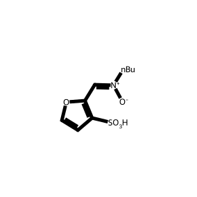 CCCC[N+]([O-])=Cc1occc1S(=O)(=O)O